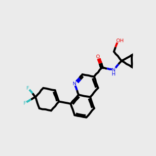 O=C(NC1(CO)CC1)c1cnc2c(C3=CCC(F)(F)CC3)cccc2c1